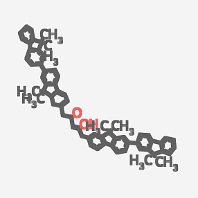 CC1(C)c2ccccc2-c2ccc(-c3ccc4c(c3)C(C)(C)c3cc(C/C(O)=C/C(=O)CC5=CC=C6c7ccc(-c8ccc9c(c8)C(C)(C)c8ccccc8-9)cc7C(C)(C)C6C5)ccc3-4)cc21